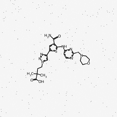 CC(C)(CCn1cc(-c2cc(C(N)=O)c(Nc3ccnc(CN4CCOCC4)n3)s2)nn1)C(=O)O